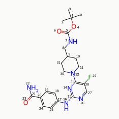 CC(C)(C)OC(=O)NCC1CCN(c2nc(Nc3ccc(C(N)=O)cc3)ncc2F)CC1